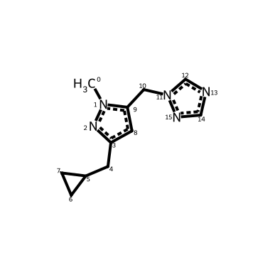 Cn1nc(CC2CC2)cc1Cn1cncn1